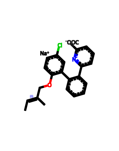 C/C=C(\C)COc1ccc(Cl)cc1-c1ccccc1-c1cccc(C(=O)[O-])n1.[Na+]